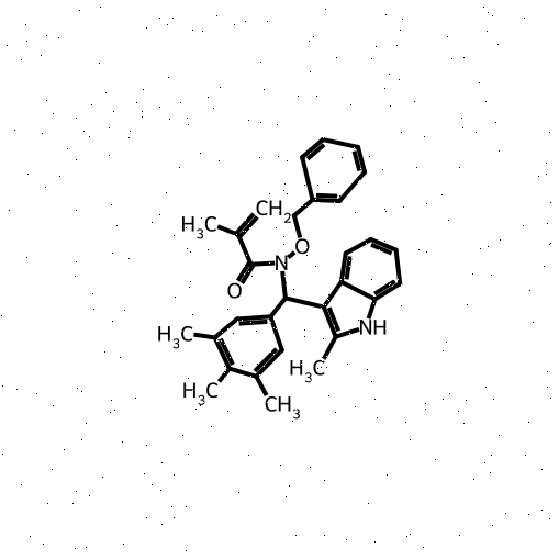 C=C(C)C(=O)N(OCc1ccccc1)C(c1cc(C)c(C)c(C)c1)c1c(C)[nH]c2ccccc12